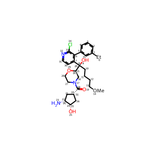 CCc1cccc(-c2c([C@](O)(CCCCOC)[C@H]3CN(C(=O)[C@H]4C[C@@H](N)[C@@H](O)C4)CCO3)ccnc2Cl)c1